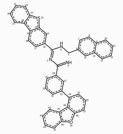 N=C(/N=C(\NCc1ccc2ccccc2c1)c1ccc2c(c1)sc1ccccc12)c1cccc(-c2cccc3oc4ccccc4c23)c1